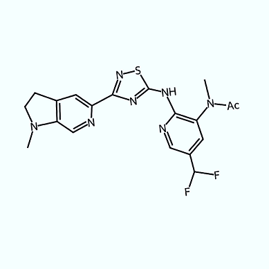 CC(=O)N(C)c1cc(C(F)F)cnc1Nc1nc(-c2cc3c(cn2)N(C)CC3)ns1